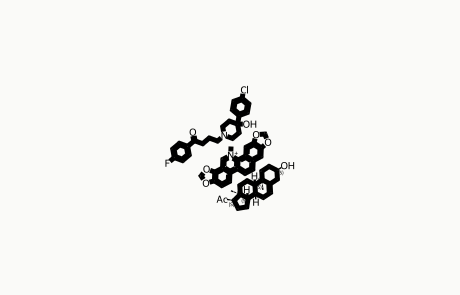 CC(=O)[C@H]1CC[C@H]2[C@@H]3CC=C4C[C@@H](O)CC[C@]4(C)[C@H]3CC[C@]12C.C[n+]1cc2c3c(ccc2c2ccc4cc5c(cc4c21)OCO5)OCO3.O=C(CCCN1CCC(O)(c2ccc(Cl)cc2)CC1)c1ccc(F)cc1